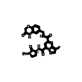 CC(C)N1CC[C@H](NC(=O)c2cc(C(=O)NCc3ccc4c(c3)NC(=O)CO4)nc3c(F)cnn23)C1=O